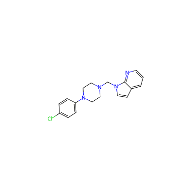 Clc1ccc(N2CCN(Cn3ccc4cccnc43)CC2)cc1